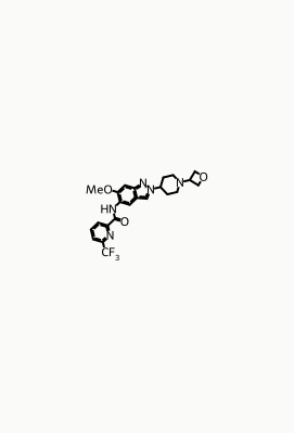 COc1cc2nn(C3CCN(C4COC4)CC3)cc2cc1NC(=O)c1cccc(C(F)(F)F)n1